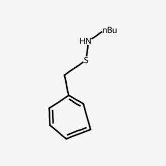 CCCCNSCc1ccccc1